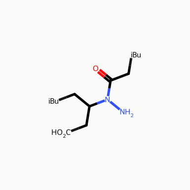 CCC(C)CC(=O)N(N)C(CC(=O)O)CC(C)CC